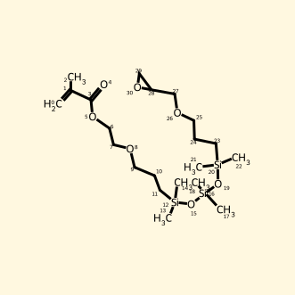 C=C(C)C(=O)OCCOCCC[Si](C)(C)O[Si](C)(C)O[Si](C)(C)CCCOCC1CO1